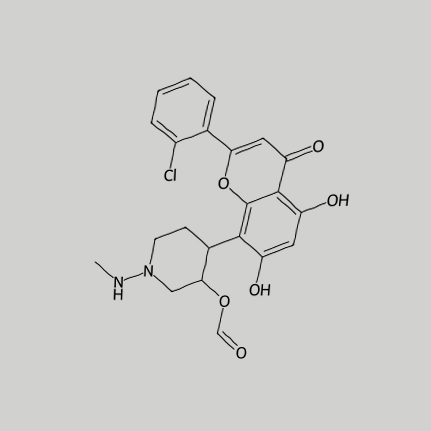 CNN1CCC(c2c(O)cc(O)c3c(=O)cc(-c4ccccc4Cl)oc23)C(OC=O)C1